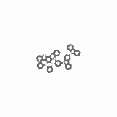 c1ccc(B2c3ccccc3Oc3c4c(c5oc6ccccc6c5c32)Oc2ccccc2B4c2cccc(-n3c4ccccc4c4cc(-n5c6ccccc6c6ccccc65)ccc43)c2)cc1